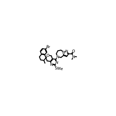 CSc1nc2c(c(N3CCCn4nc(C(=O)N(C)C)cc4C3)n1)COC1(C2)c2cc(Br)ccc2CCC1C